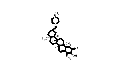 CC1=C(O)C(=O)C=C2C1=CC=C1[C@@]2(C)CC[C@@]2(C)[C@@H]3C[C@](C)(CN4CCN(C)CC4)CC[C@]3(C)CC[C@]12C